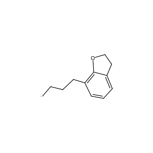 [CH2]CCCc1cccc2c1OCC2